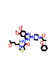 COc1cc2nc(N3CCN(C(=O)C(C)Oc4ccccc4)CC3)nc(NC(=O)C3CSCN3C(=S)CCC(C)=O)c2cc1OC